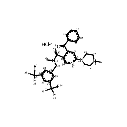 CN1CCN(c2cc(C(=O)c3ccccc3)c(C(=O)N(C)Cc3cc(C(F)(F)F)cc(C(F)(F)F)c3)cn2)CC1.Cl